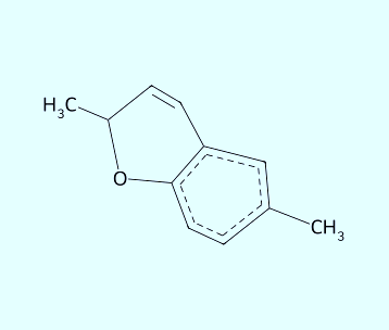 Cc1ccc2c(c1)C=CC(C)O2